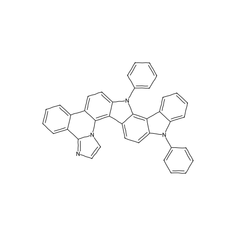 c1ccc(-n2c3ccccc3c3c2ccc2c4c(ccc5c6ccccc6c6nccn6c54)n(-c4ccccc4)c23)cc1